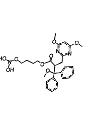 COc1cc(OC)nc(C[C@H](C(=O)OCCCCON(O)O)C(OC)(c2ccccc2)c2ccccc2)n1